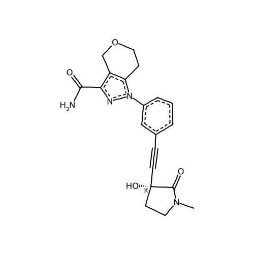 CN1CC[C@@](O)(C#Cc2cccc(-n3nc(C(N)=O)c4c3CCOC4)c2)C1=O